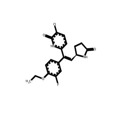 CCOc1ccc(C(=C[C@H]2CCC(=O)N2)c2ccc(Cl)c(=O)[nH]2)cc1F